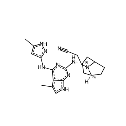 Cc1cc(Nc2nc(N[C@@H]3CC4CC[C@@H](C3)N4CCC#N)nc3[nH]cc(C)c23)n[nH]1